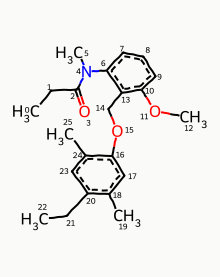 CCC(=O)N(C)c1cccc(OC)c1COc1cc(C)c(CC)cc1C